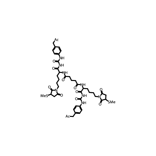 CSC1CC(=O)N(CCCCC(NC(=O)CCCC(=O)NC(CCCCN2C(=O)CC(SC)C2=O)C(=O)NC(=O)Nc2ccc(CC(C)=O)cc2)C(=O)NC(=O)Nc2ccc(CC(C)=O)cc2)C1=O